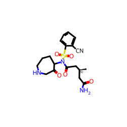 C[C@@H](CC(N)=O)CC(=O)N(C1CCCNCC1=O)S(=O)(=O)c1ccccc1C#N